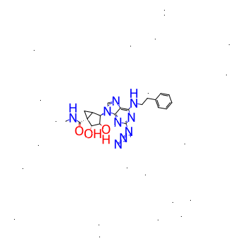 CNC(=O)[C@]12CC1[C@@H](n1cnc3c(NCCc4ccccc4)nc(N=[N+]=[N-])nc31)C(O)[C@@H]2O